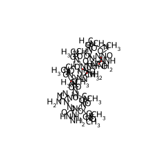 Cc1cn(C2CN(C)CC(COP(=O)(N(C)C)N3CC(COP(=O)(N(C)C)N4CC(COP(=O)(N(C)C)N5CC(COP(=O)(N(C)C)N6CC(COP(=O)(N(C)C)N7CC(COP(C)(=O)N(C)C)OC(n8cnc9c(=O)[nH]c(N)nc98)C7)OC(n7cnc8c(N)ncnc87)C6)OC(n6cnc7c(N)ncnc76)C5)OC(n5cc(C)c(=O)[nH]c5=O)C4)OC(n4cnc5c(N)ncnc54)C3)O2)c(=O)[nH]c1=O